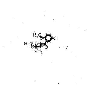 COc1ccc(Cl)cc1C(=O)/C=C/C(C)(C)OC